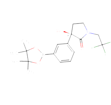 CC1(C)OB(c2cccc([C@]3(O)CCN(CC(F)(F)F)C3=O)c2)OC1(C)C